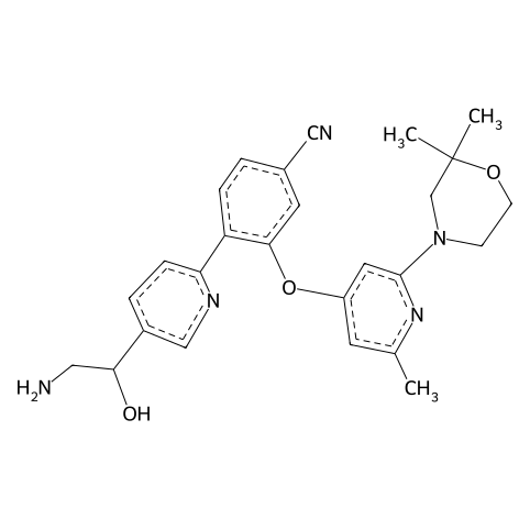 Cc1cc(Oc2cc(C#N)ccc2-c2ccc(C(O)CN)cn2)cc(N2CCOC(C)(C)C2)n1